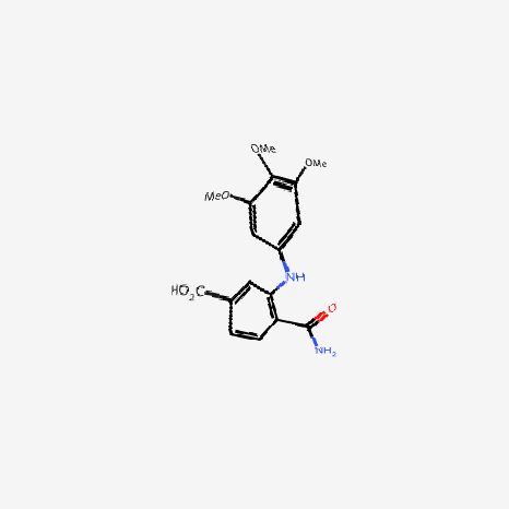 COc1cc(Nc2cc(C(=O)O)ccc2C(N)=O)cc(OC)c1OC